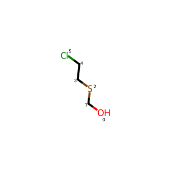 OCSCCCl